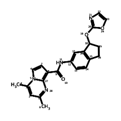 Cc1cc(C)n2ccc(C(=O)Nc3ccc4c(c3)C(Oc3ncco3)CC4)c2n1